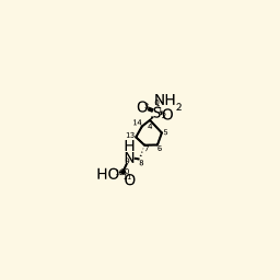 NS(=O)(=O)[C@H]1CC[C@H](CNC(=O)O)CC1